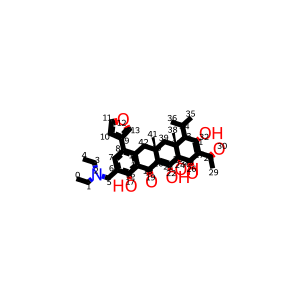 CCN(CC)Cc1cc(-c2ccoc2)c2c(c1O)C(=O)C1=C(O)[C@@]3(O)C(=O)C(C(C)=O)=C(O)C(C(C)C)[C@@]3(C)C[C@@]1(C)C2